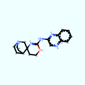 c1ccc2nc(NC3=NC4(CCO3)CN3CCC4CC3)cnc2c1